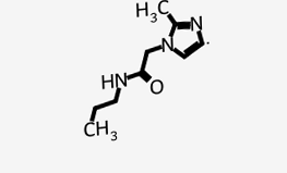 CCCNC(=O)Cn1c[c]nc1C